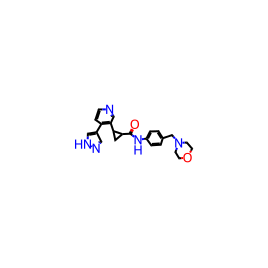 O=C(Nc1ccc(CN2CCOCC2)cc1)C1CC1c1cnccc1-c1cn[nH]c1